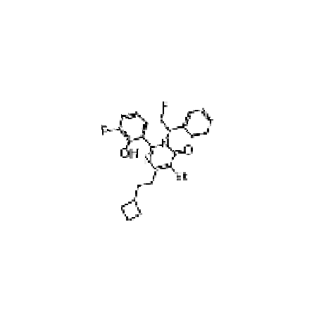 CCc1c(CCC2CCC2)nc(-c2cccc(F)c2O)n(C(CF)c2ccccc2)c1=O